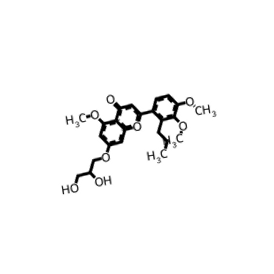 CCCc1c(-c2cc(=O)c3c(OC)cc(OCC(O)CO)cc3o2)ccc(OC)c1OC